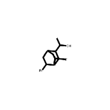 CC(C)C1CC2CC(F)C1CC2C(C)O